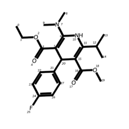 CCOC(=O)C1=C(N(C)C)NC(C(C)C)=C(C(=O)OC)C1c1ccc(F)cc1